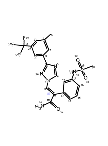 Cc1cc(-c2ncn(/C=C(/C(N)=O)c3cccc(NS(C)(=O)=O)c3)n2)cc(C(F)(F)F)c1